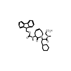 CN(CC(=O)O)C(=O)C(CC1CCCCC1)N1CCC=CCC(N(C)C(=O)OCC2c3ccccc3-c3ccccc32)C1=O